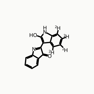 [2H]c1c([2H])c([2H])c2c(C3=Nc4ccccc4C3=O)c(O)[nH]c2c1[2H]